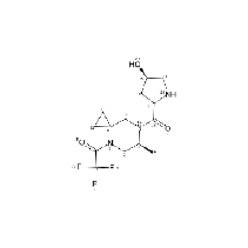 C[C@H]1CN(C(=O)C(F)(F)F)C2(CC2)CN1C(=O)C1C[C@@H](O)CN1